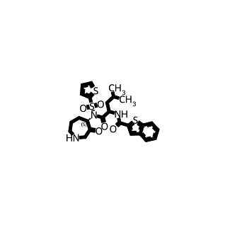 CC(C)CC(NC(=O)c1cc2ccccc2s1)C(=O)N([C@H]1CCCNCC1=O)S(=O)(=O)c1cccs1